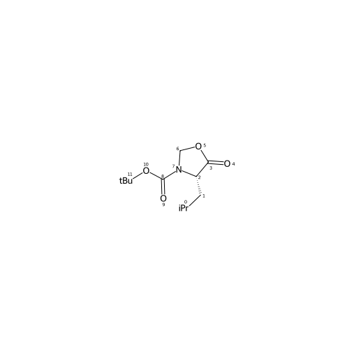 CC(C)C[C@H]1C(=O)OCN1C(=O)OC(C)(C)C